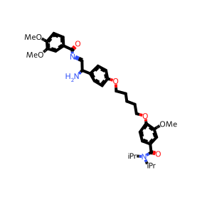 COc1ccc(C(=O)N=CC(N)c2ccc(OCCCCCOc3ccc(C(=O)N(C(C)C)C(C)C)cc3OC)cc2)cc1OC